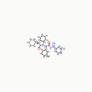 O=C1C(N(C(=O)CNc2ccnc(F)c2)c2cccc(F)c2)c2ccccc2N1C1CCCCC1